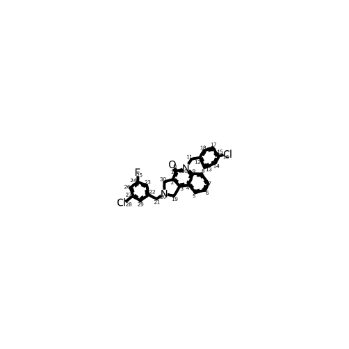 O=c1c2c(c3ccccc3n1Cc1ccc(Cl)cc1)CN(Cc1cc(F)cc(Cl)c1)C2